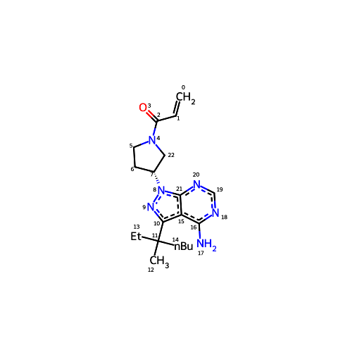 C=CC(=O)N1CC[C@@H](n2nc(C(C)(CC)CCCC)c3c(N)ncnc32)C1